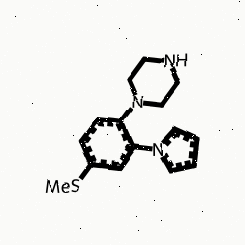 CSc1ccc(N2CCNCC2)c(-n2cccc2)c1